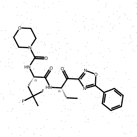 CC[C@H](NC(=O)[C@H](CC(C)(F)F)NC(=O)N1CCOCC1)C(=O)c1noc(-c2ccccc2)n1